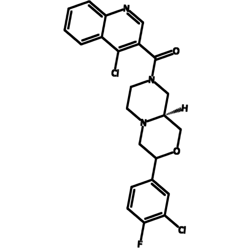 O=C(c1cnc2ccccc2c1Cl)N1CCN2CC(c3ccc(F)c(Cl)c3)OC[C@@H]2C1